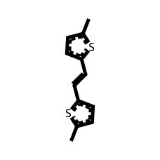 Cc1ccc(C=Cc2ccc(C)s2)s1